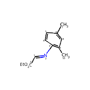 CCOC(=O)C=Nc1ccc(C)cc1C